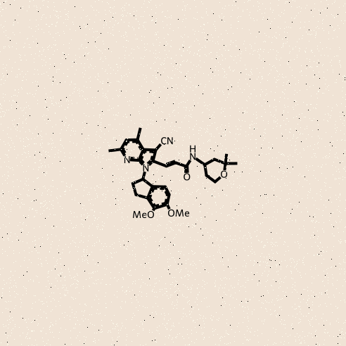 COc1ccc2c(c1OC)CCC2n1c(C=CC(=O)NC2CCOC(C)(C)C2)c(C#N)c2c(C)cc(C)nc21